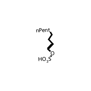 CCCCCCCC=COS(=O)(=O)O